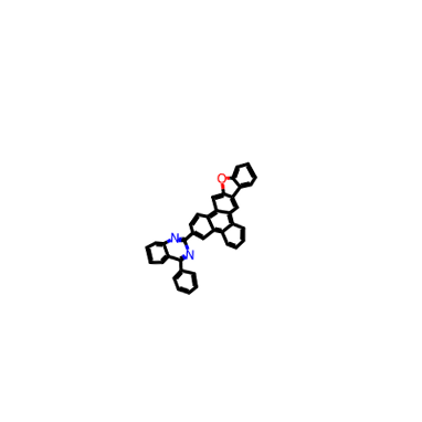 c1ccc(-c2nc(-c3ccc4c(c3)c3ccccc3c3cc5c(cc43)oc3ccccc35)nc3ccccc23)cc1